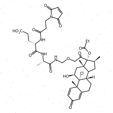 CCC(=O)O[C@]1(C(=O)COCNC(=O)[C@H](C)NC(=O)[C@H](CCC(=O)O)NC(=O)CCN2C(=O)C=CC2=O)[C@@H](C)CC2[C@@H]3CCC4=CC(=O)C=C[C@]4(C)[C@@]3(Cl)[C@@H](O)C[C@@]21C